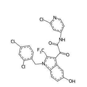 O=C(Nc1ccnc(Cl)c1)C(=O)c1c(C(F)(F)F)n(Cc2ccc(Cl)cc2Cl)c2ccc(O)cc12